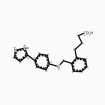 O=C(O)CCCc1ccccc1COc1ccc(-c2ccn[nH]2)cc1